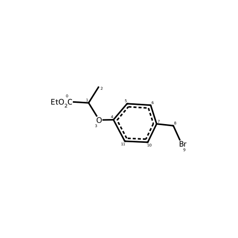 CCOC(=O)C(C)Oc1ccc(CBr)cc1